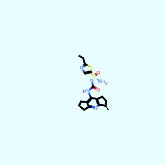 CCc1ncc([S@@](N)(=O)=NC(=O)Nc2c3c(nc4c2CC[C@H]4C)CCC3)s1